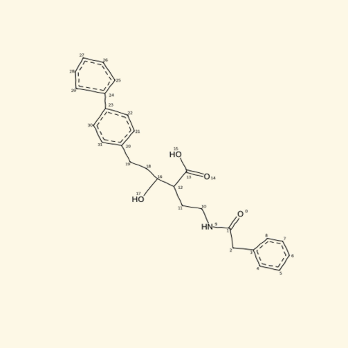 O=C(Cc1ccccc1)NCCC(C(=O)O)C(O)CCc1ccc(-c2ccccc2)cc1